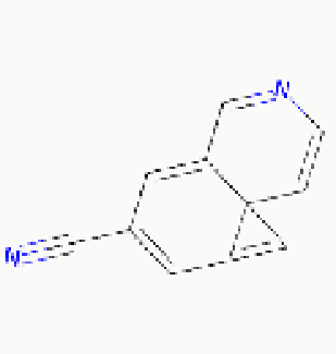 N#CC1=CC2=CC23C=CN=CC3=C1